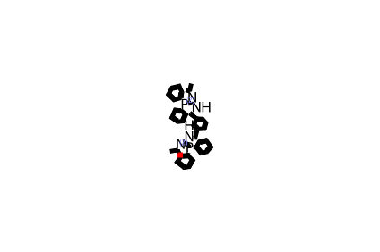 CC(C)/N=C(/NCc1cccc(CN/C(=N/C(C)C)P(c2ccccc2)c2ccccc2)c1)P(c1ccccc1)c1ccccc1